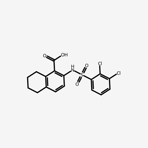 O=C(O)c1c(NS(=O)(=O)c2cccc(Cl)c2Cl)ccc2c1CCCC2